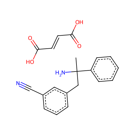 CC(N)(Cc1cccc(C#N)c1)c1ccccc1.O=C(O)C=CC(=O)O